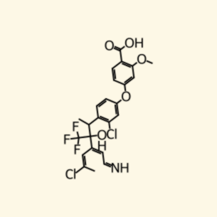 COc1cc(Oc2ccc(C(C)C(O)(C(/C=C(\C)Cl)=C/C=N)C(F)(F)F)c(Cl)c2)ccc1C(=O)O